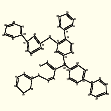 C/C=C(\C=C/CC1=CC=CCC1)N(c1ccc(-c2ccccc2)cc1)c1ccc(-c2ccccc2)c(Cc2cccc(-c3ccccc3)c2)c1